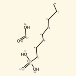 CCCCCCCCP(=O)(O)O.O=CO